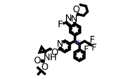 CC(C)(C)OC(=O)NC1(COc2ccc(/C(=C(/CC(F)(F)F)c3ccccc3)c3ccc4c(c3)c(F)nn4C3CCCCO3)cn2)CC1